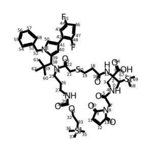 CC([C@](CNC(=O)CN1C(=O)C=CC1=O)(NC(=O)CCSCC(=O)N(CCCNC(=O)OCC[Si](C)(C)C)[C@@H](c1cc(-c2cc(F)ccc2F)cn1Cc1ccccc1)C(C)(C)C)C(=O)O)[Si](C)(C)C